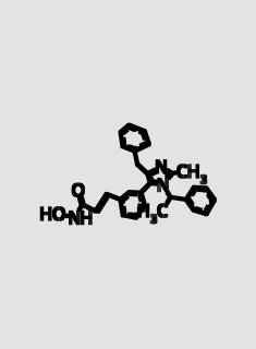 Cc1nc(Cc2ccccc2)c(-c2cccc(C=CC(=O)NO)c2)n1C(C)c1ccccc1